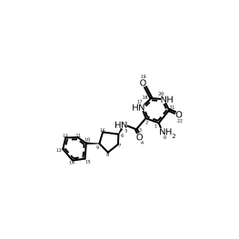 Nc1c(C(=O)N[C@H]2CC[C@@H](c3ccccc3)C2)[nH]c(=O)[nH]c1=O